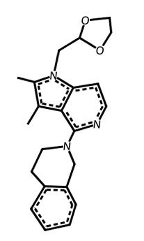 Cc1c(C)n(CC2OCCO2)c2ccnc(N3CCc4ccccc4C3)c12